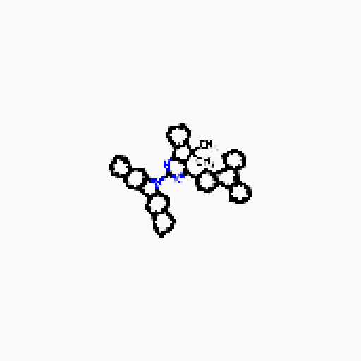 CC1(C)c2ccccc2-c2nc(-n3c4cc5ccccc5cc4c4cc5ccccc5cc43)nc(-c3ccc4c5ccccc5c5ccccc5c4c3)c21